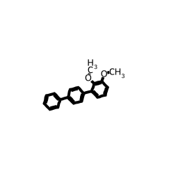 COc1cccc(-c2ccc(-c3ccccc3)cc2)c1OC